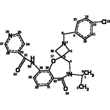 CC(C)N1CC2(CN(Cc3ccc(Cl)cc3)C2)Oc2c(NC(=O)c3ccncc3)cccc2C1=O